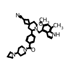 COc1cc(C)c2[nH]ccc2c1CN1CCC2(CC(C#N)C2)CC1c1ccc(C(=O)N2CCC(N3CCC3)CC2)cc1